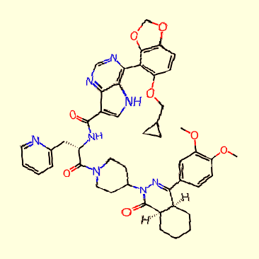 COc1ccc(C2=NN(C3CCN(C(=O)[C@H](Cc4ccccn4)NC(=O)c4c[nH]c5c(-c6c(OCC7CC7)ccc7c6OCO7)ncnc45)CC3)C(=O)[C@@H]3CCCC[C@H]23)cc1OC